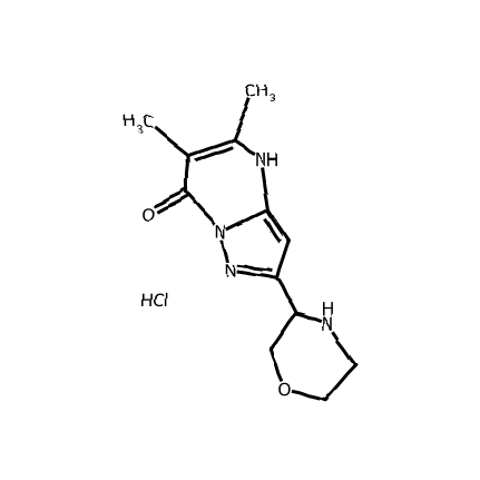 Cc1[nH]c2cc(C3COCCN3)nn2c(=O)c1C.Cl